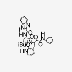 CCC(C)CC(NC(=O)c1nc2ccccc2n1I)C(=O)NC(Cc1ccc[nH]c1=O)C(=O)C(=O)Nc1ccccc1